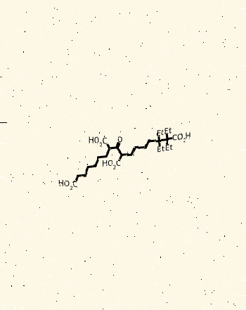 CCC(CC)(CCCCC(C(=O)O)C(=O)C(CCCCCCC(=O)O)C(=O)O)C(CC)(CC)C(=O)O